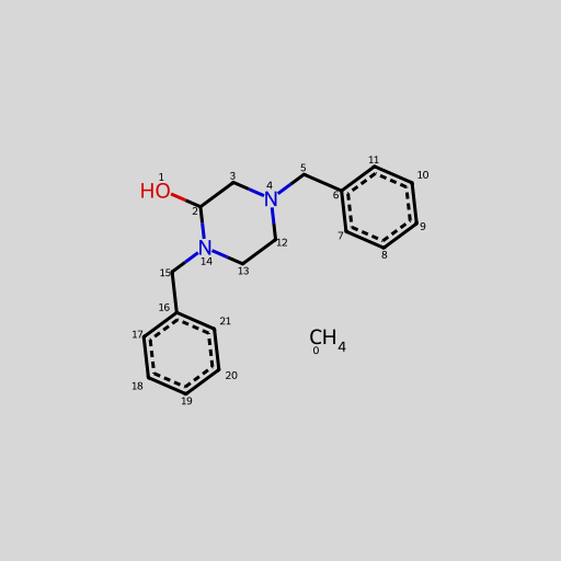 C.OC1CN(Cc2ccccc2)CCN1Cc1ccccc1